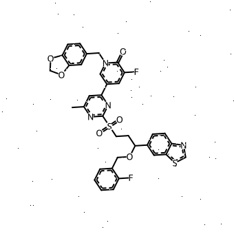 Cc1cc(-c2cc(F)c(=O)n(Cc3ccc4c(c3)OCO4)c2)nc(S(=O)(=O)CCC(OCc2ccccc2F)c2ccc3ncsc3c2)n1